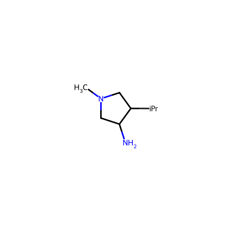 CC(C)C1CN(C)CC1N